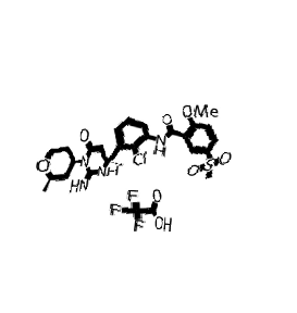 COc1ccc(S(C)(=O)=O)cc1C(=O)Nc1cccc([C@]2(C)CC(=O)N([C@@H]3CCO[C@H](C)C3)C(=N)N2)c1Cl.O=C(O)C(F)(F)F